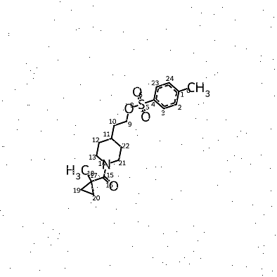 Cc1ccc(S(=O)(=O)OCCC2CCN(C(=O)C3(C)CC3)CC2)cc1